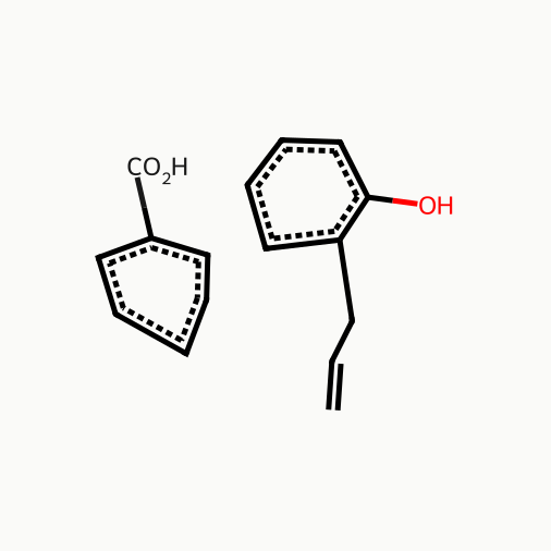 C=CCc1ccccc1O.O=C(O)c1ccccc1